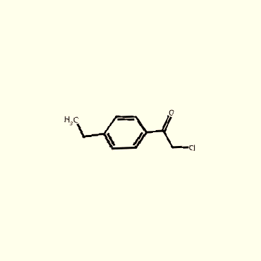 CCc1ccc(C(=O)CCl)cc1